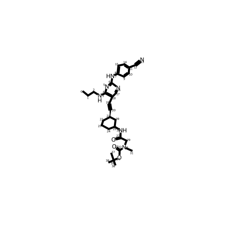 CCCNc1nc(Nc2ccc(C#N)cc2)ncc1C#C[C@@H]1CCCC(NC(=O)CN(C)C(=O)OC(C)(C)C)C1